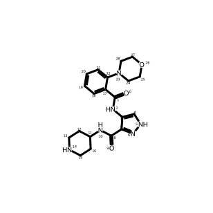 O=C(Nc1c[nH]nc1C(=O)NC1CCNCC1)c1ccccc1N1CCOCC1